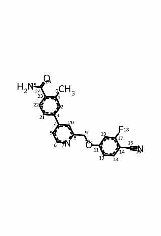 Cc1cc(-c2ccnc(COc3ccc(C#N)c(F)c3)c2)ccc1C(N)=O